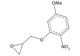 COc1ccc([N+](=O)[O-])c(OCC2CO2)c1